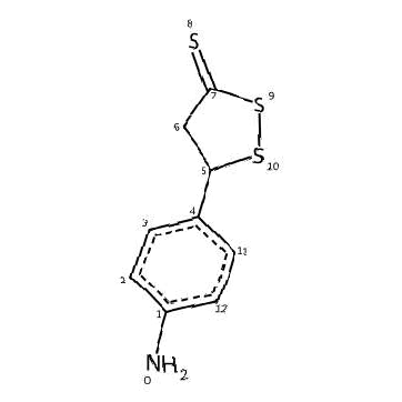 Nc1ccc(C2CC(=S)SS2)cc1